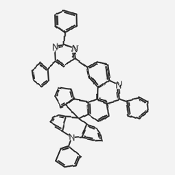 c1ccc(-c2cc(-c3ccc4nc(-c5ccccc5)c5ccc6c(c5c4c3)-c3ccccc3C63c4ccccc4N(c4ccccc4)c4ccccc43)nc(-c3ccccc3)n2)cc1